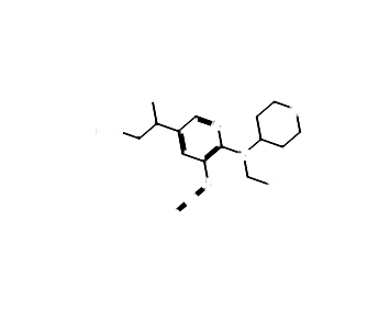 CC(C)CN(c1ncc(C(C)CC(=O)O)cc1N=C=S)C1CCOCC1